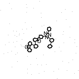 c1ccc(-c2cccc(-c3nc(-c4ccccc4)nc(-c4ccc5c(c4)oc4c(-c6ccccc6-c6cccc7oc8ccccc8c67)cccc45)n3)c2)cc1